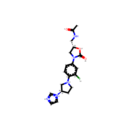 CC(=O)NC[C@H]1CN(c2ccc(N3CC[C@@H](n4ccnc4)C3)c(F)c2)C(=O)O1